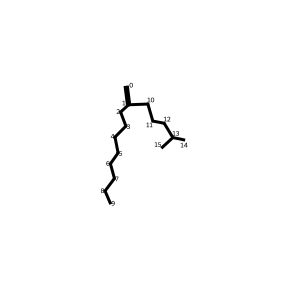 C=C(CCCCCCCC)CCCC(C)C